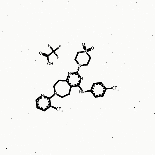 O=C(O)C(F)(F)F.O=S1(=O)CCN(c2nc3c(c(Nc4ccc(C(F)(F)F)cc4)n2)CCN(c2ncccc2C(F)(F)F)CC3)CC1